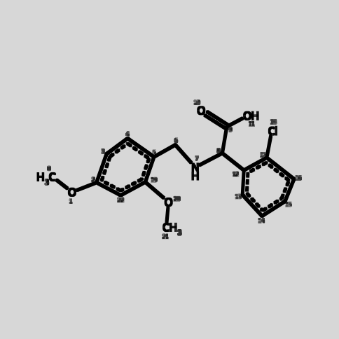 COc1ccc(CNC(C(=O)O)c2ccccc2Cl)c(OC)c1